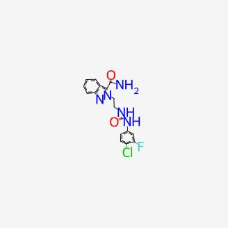 NC(=O)c1c2ccccc2nn1CCNC(=O)Nc1ccc(Cl)c(F)c1